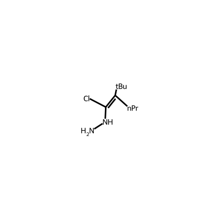 CCC/C(=C(/Cl)NN)C(C)(C)C